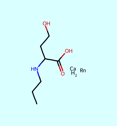 CCCNC(CCO)C(=O)O.[CaH2].[Rn]